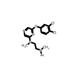 CC(=O)N(C)CCN(C)c1cncc(Oc2ccc(Cl)c(Cl)c2)n1